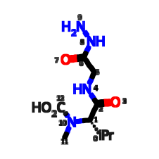 CC(C)[C@@H](C(=O)NCC(=O)NN)N(C)C(=O)O